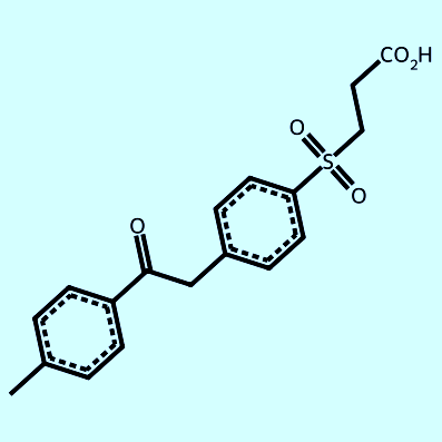 Cc1ccc(C(=O)Cc2ccc(S(=O)(=O)CCC(=O)O)cc2)cc1